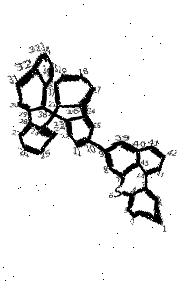 c1ccc2c(c1)Sc1cc(-c3ccc4c(c3)-c3ccccc3C43c4ccccc4-c4ccc5ccccc5c43)cc3cccc-2c13